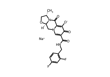 C[C@H]1CO[C@@H]2Cn3cc(C(=O)NCc4ccc(F)cc4F)c(=O)c([O-])c3C(=O)N12.[Na+]